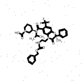 CC(C)N(C(=O)c1cc2c(cc1C(F)(F)F)O[C@@](C)(c1ccccc1)C(=O)N2CCNC(=O)OCc1ccccc1)[C@@H]1CCCN(C(=O)O)C1